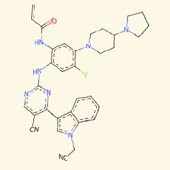 C=CC(=O)Nc1cc(N2CCC(N3CCCC3)CC2)c(F)cc1Nc1ncc(C#N)c(-c2cn(CC#N)c3ccccc23)n1